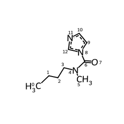 CCCCN(C)C(=O)n1ccnc1